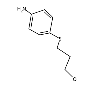 Nc1ccc(SCCC[O])cc1